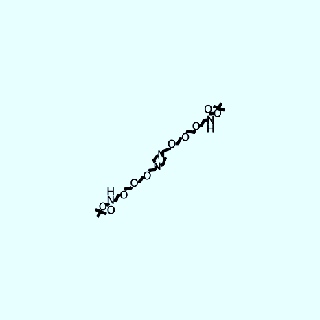 CC(C)(C)OC(=O)NCCOCCOCCOCCN1CCN(CCOCCOCCOCCNC(=O)OC(C)(C)C)CC1